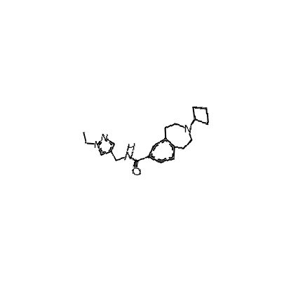 CCn1cc(CNC(=O)c2ccc3c(c2)CCN(C2CCC2)CC3)cn1